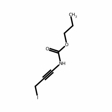 CCCOC(=O)NC#CCI